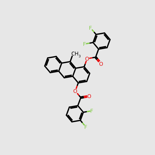 Cc1c2ccccc2cc2c(OC(=O)c3cccc(F)c3F)ccc(OC(=O)c3cccc(F)c3F)c12